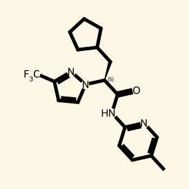 Cc1ccc(NC(=O)[C@H](CC2CCCC2)n2ccc(C(F)(F)F)n2)nc1